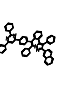 C1=CCC(c2nc(-c3ccccc3)cc(-c3ccc(-c4c(C5C=CC=CC5)n5nc(C6=CC7C=CC=CC7C=C6)c(-c6ccccc6)c5c5ccccc45)cc3)n2)C=C1